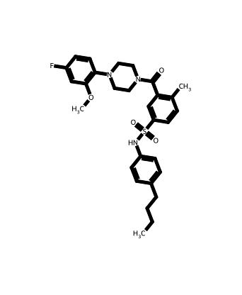 CCCCc1ccc(NS(=O)(=O)c2ccc(C)c(C(=O)N3CCN(c4ccc(F)cc4OC)CC3)c2)cc1